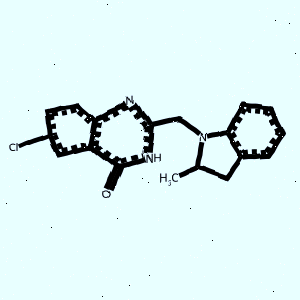 CC1Cc2ccccc2N1Cc1nc2ccc(Cl)cc2c(=O)[nH]1